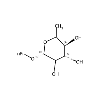 CCCO[C@@H]1OC(C)[C@@H](O)[C@H](O)C1O